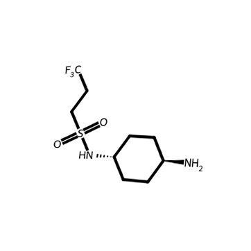 N[C@H]1CC[C@H](NS(=O)(=O)CCC(F)(F)F)CC1